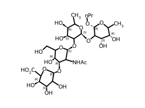 CCCO[C@@H]1OC(C)[C@H](O)[C@H](O)C1O[C@@H]1OC(C)[C@H](O)[C@H](O)C1O[C@@H]1OC(CO)[C@H](O)[C@H](O[C@@H]2OC(C(=O)O)[C@H](O)[C@H](O)C2O)C1NC(C)=O